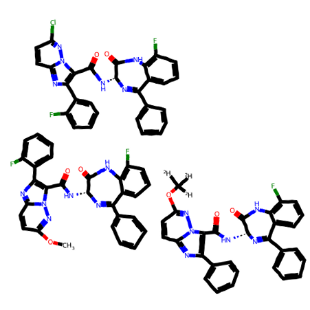 COc1ccc2nc(-c3ccccc3F)c(C(=O)N[C@H]3N=C(c4ccccc4)c4cccc(F)c4NC3=O)n2n1.O=C(N[C@H]1N=C(c2ccccc2)c2cccc(F)c2NC1=O)c1c(-c2ccccc2F)nc2ccc(Cl)nn12.[2H]C([2H])([2H])Oc1ccc2nc(-c3ccccc3)c(C(=O)N[C@H]3N=C(c4ccccc4)c4cccc(F)c4NC3=O)n2n1